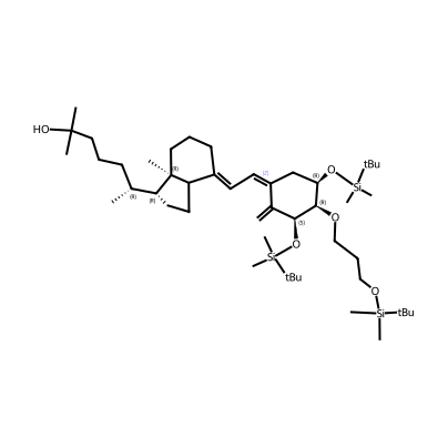 C=C1/C(=C\C=C2CCC[C@@]3(C)C2CC[C@@H]3[C@H](C)CCCC(C)(C)O)C[C@@H](O[Si](C)(C)C(C)(C)C)[C@@H](OCCCO[Si](C)(C)C(C)(C)C)[C@H]1O[Si](C)(C)C(C)(C)C